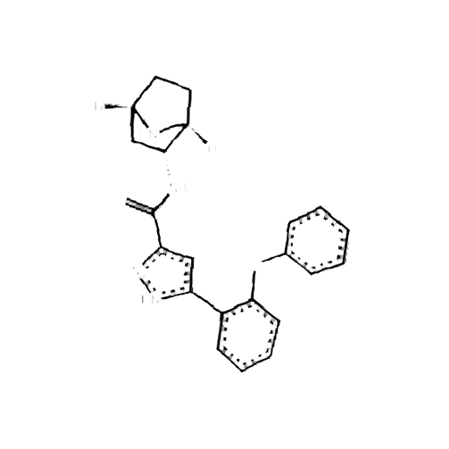 O=C(N[C@@H]1C[C@@H]2CC[C@H]1N2)c1cc(-c2ccccc2Oc2ccccc2)[nH]n1